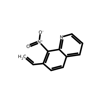 C=Cc1ccc2cccnc2c1[N+](=O)[O-]